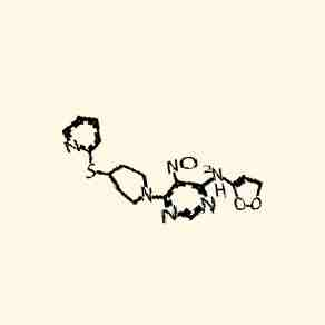 O=[N+]([O-])c1c(NC2=CCOO2)ncnc1N1CCC(Sc2ccccn2)CC1